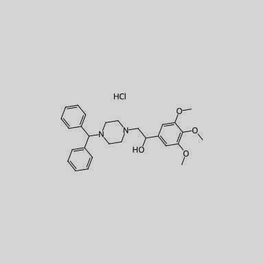 COc1cc(C(O)CN2CCN(C(c3ccccc3)c3ccccc3)CC2)cc(OC)c1OC.Cl